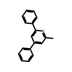 Cc1cc(-c2ccccc2)cc(-c2ccccc2)n1